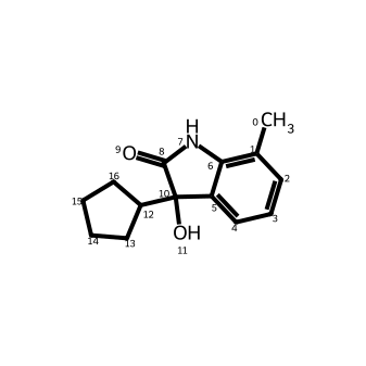 Cc1cccc2c1NC(=O)C2(O)C1CCCC1